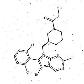 CC(C)(C)OC(=O)N1CCC[C@@H](Cn2c(-c3c(Cl)cccc3Cl)c(Br)c3cnc(Cl)nc32)C1